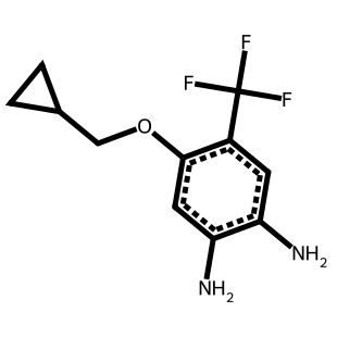 Nc1cc(OCC2CC2)c(C(F)(F)F)cc1N